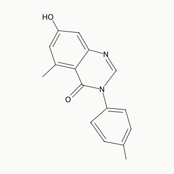 Cc1ccc(-n2cnc3cc(O)cc(C)c3c2=O)cc1